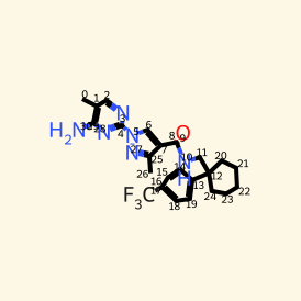 Cc1cnc(-n2cc(C(=O)NCC3(c4ccc(C(F)(F)F)cc4)CCCCC3)c(C)n2)nc1N